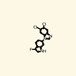 Fc1c[nH]c2cc(-n3cnc4cc(Cl)c(Cl)cc43)ccc12